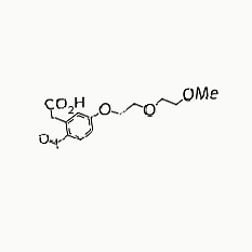 COCCOCCOc1ccc(I=O)c(CC(=O)O)c1